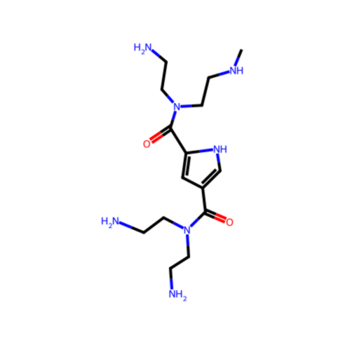 CNCCN(CCN)C(=O)c1cc(C(=O)N(CCN)CCN)c[nH]1